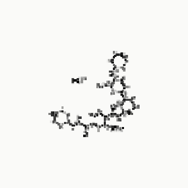 COc1cc(C(=O)NCC2CCNCC2)ccc1-c1cc2nccc(-c3ccc(OC4CCOCC4)c(C#N)c3)c2o1.Cl